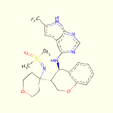 CS(C)(=O)=NC1([C@H]2COc3ccccc3[C@@H]2Nc2ncnc3[nH]c(C(F)(F)F)cc23)CCOCC1